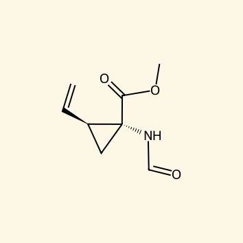 C=C[C@@H]1C[C@]1(NC=O)C(=O)OC